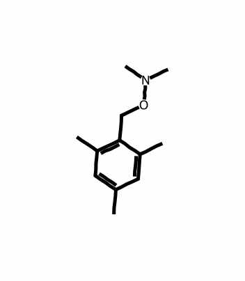 Cc1cc(C)c(CON(C)C)c(C)c1